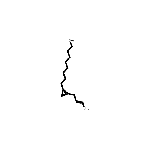 CC=CCC1=C(CCCCCCCCOC(C)=O)C1